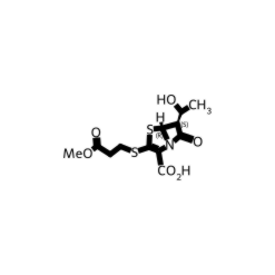 COC(=O)CCSC1=C(C(=O)O)N2C(=O)[C@H](C(C)O)[C@H]2S1